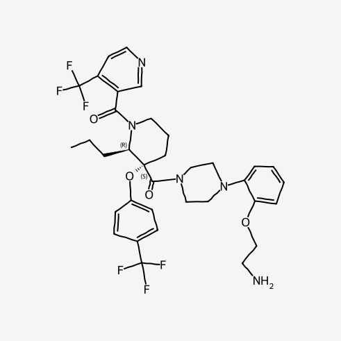 CCC[C@H]1N(C(=O)c2cnccc2C(F)(F)F)CCC[C@@]1(Oc1ccc(C(F)(F)F)cc1)C(=O)N1CCN(c2ccccc2OCCN)CC1